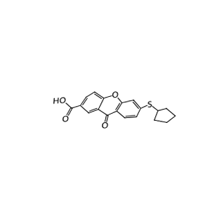 O=C(O)c1ccc2oc3cc(SC4CCCC4)ccc3c(=O)c2c1